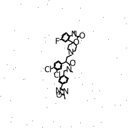 Cc1nc(-c2ccc(CN(C)C(=O)C(CCN3CCC4(CC3)OC(=O)N(C)c3ccc(F)cc34)c3ccc(Cl)c(Cl)c3)cc2)no1